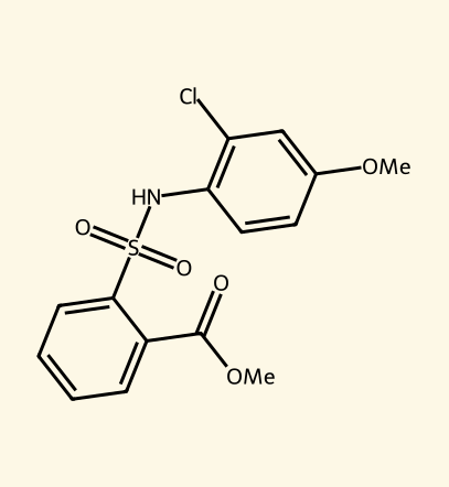 COC(=O)c1ccccc1S(=O)(=O)Nc1ccc(OC)cc1Cl